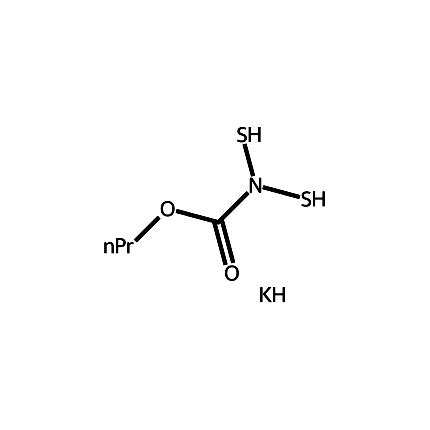 CCCOC(=O)N(S)S.[KH]